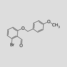 COc1ccc(COc2cccc(Br)c2C=O)cc1